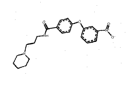 O=C(NCCCN1CCCCC1)c1ccc(Oc2cccc([N+](=O)[O-])c2)cc1